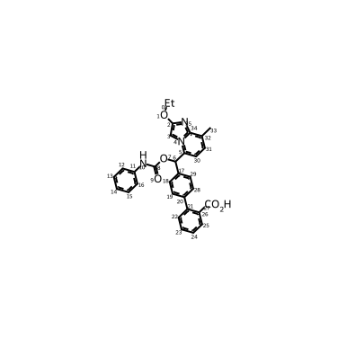 CCOc1cn2c(C(OC(=O)Nc3ccccc3)c3ccc(-c4ccccc4C(=O)O)cc3)ccc(C)c2n1